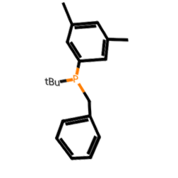 Cc1cc(C)cc(P(Cc2ccccc2)C(C)(C)C)c1